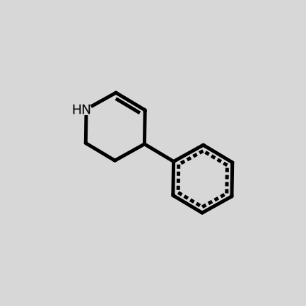 C1=CC(c2ccccc2)CCN1